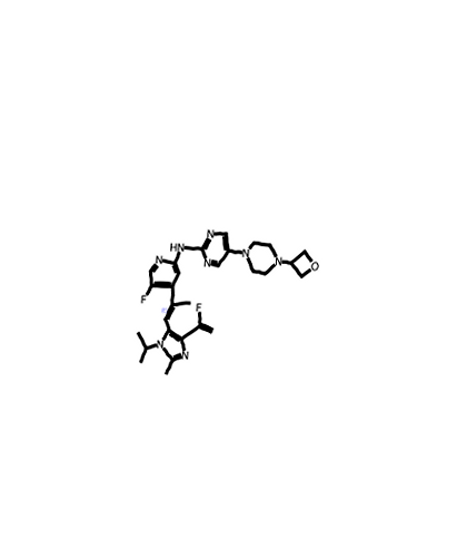 C=C(F)c1nc(C)n(C(C)C)c1/C=C(\C)c1cc(Nc2ncc(N3CCN(C4COC4)CC3)cn2)ncc1F